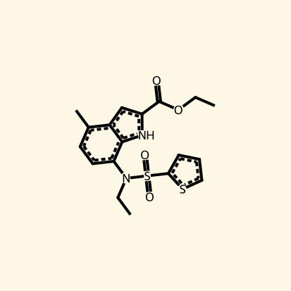 CCOC(=O)c1cc2c(C)ccc(N(CC)S(=O)(=O)c3cccs3)c2[nH]1